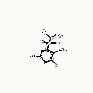 Cc1c(F)cc([N+](=O)[O-])cc1S(=O)(=O)N(C)C